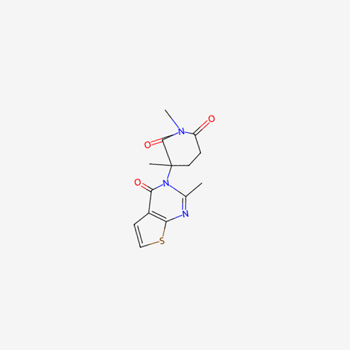 Cc1nc2sccc2c(=O)n1C1(C)CCC(=O)N(C)C1=O